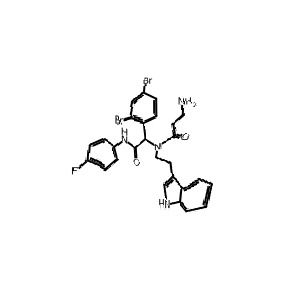 NCCC(=O)N(CCc1c[nH]c2ccccc12)C(C(=O)Nc1ccc(F)cc1)c1ccc(Br)cc1Br